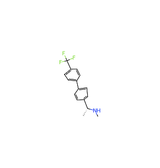 CN[C@H](C)c1ccc(-c2ccc(C(F)(F)F)cc2)cc1